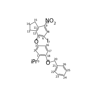 CC(C)c1cc(Oc2c(I)cc([N+](=O)[O-])c3c2CCC3)ccc1OCc1ccccc1